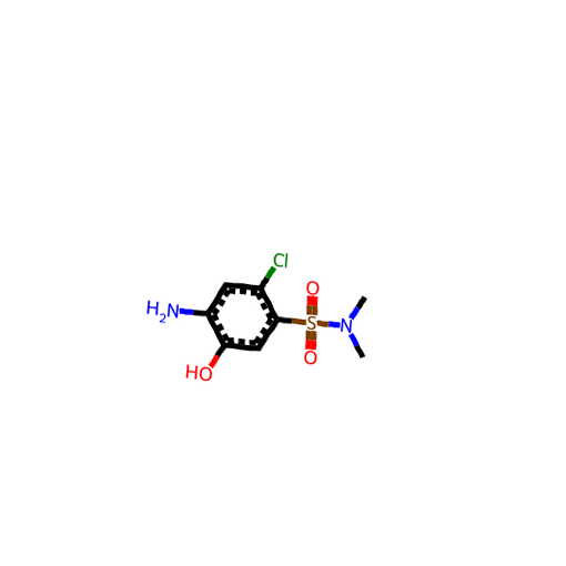 CN(C)S(=O)(=O)c1cc(O)c(N)cc1Cl